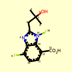 CC(C)(O)Cc1nc2c(F)ccc(C(=O)O)c2n1F